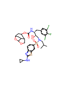 CC(C)CN(C[C@@H](O)[C@H](Cc1cc(F)c(F)c(F)c1)NC(=O)OC1CC2CC3C(OCC13)O2)S(=O)(=O)c1ccc2nc(NC3CC3)sc2c1